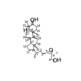 C[C@H](CC[C@H]1O[C@@]1(C)CO)[C@H]1CC[C@@]2(C)C3=CC[C@H]4C(C)(C)[C@@H](O)CC[C@]4(C)C3=CC[C@]12C